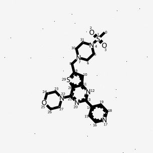 CS(=O)(=O)N1CCN(Cc2cc3nc(-c4ccncc4)nc(N4CCOCC4)c3s2)CC1